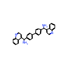 NC(c1ccc(-c2ccc(C(N)c3ccnc4ccccc34)cc2)cc1)c1ccnc2ccccc12